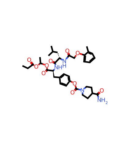 CCC(=O)OC(C)OC(=O)[C@H](Cc1ccc(OC(=O)N2CCC(C(N)=O)CC2)cc1)NC(=O)[C@H](CC(C)C)NC(=O)COc1ccccc1C